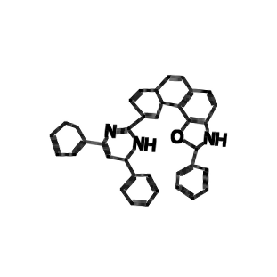 C1=CCCC(C2=CC(c3ccccc3)NC(C3=CC4c5c(ccc6c5OC(c5ccccc5)N6)C=CC4C=C3)=N2)=C1